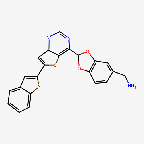 NCc1ccc2c(c1)OC(c1ncnc3cc(-c4cc5ccccc5s4)sc13)O2